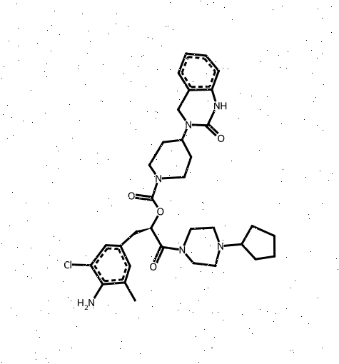 Cc1cc(C[C@@H](OC(=O)N2CCC(N3Cc4ccccc4NC3=O)CC2)C(=O)N2CCN(C3CCCC3)CC2)cc(Cl)c1N